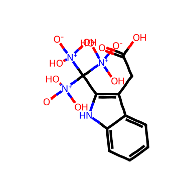 O=C(O)Cc1c(C([N+]([O-])(O)O)([N+]([O-])(O)O)[N+]([O-])(O)O)[nH]c2ccccc12